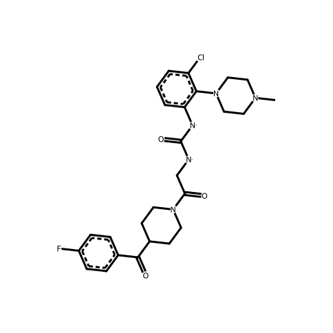 CN1CCN(c2c(Cl)cccc2[N]C(=O)[N]CC(=O)N2CCC(C(=O)c3ccc(F)cc3)CC2)CC1